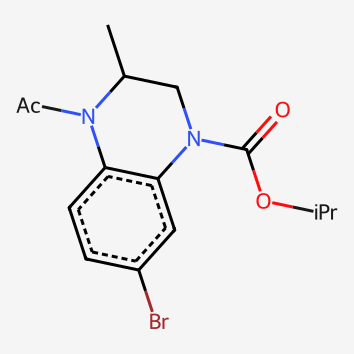 CC(=O)N1c2ccc(Br)cc2N(C(=O)OC(C)C)CC1C